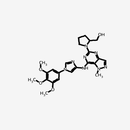 COc1cc(-n2cnc(Nc3nc(N4CCCC4CO)nc4cnn(C)c34)c2)cc(OC)c1OC